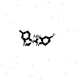 Cc1ccc2c(c1)ncn2-c1nc2ccc(F)cc2[nH]1